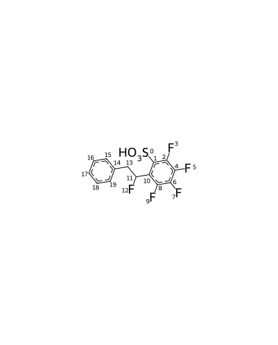 O=S(=O)(O)c1c(F)c(F)c(F)c(F)c1C(F)Cc1ccccc1